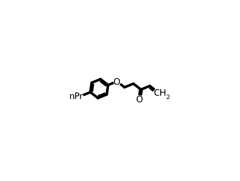 C=CC(=O)CCOc1ccc(CCC)cc1